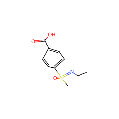 CCN=S(C)(=O)c1ccc(C(=O)O)cc1